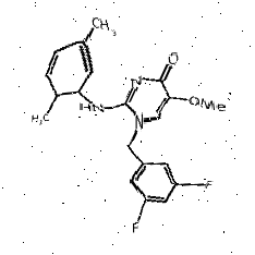 COc1cn(Cc2cc(F)cc(F)c2)c(NC2C=C(C)C=CC2C)nc1=O